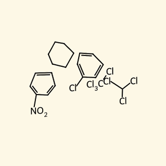 C1CCCCC1.ClC(Cl)(Cl)Cl.ClC(Cl)Cl.Clc1ccccc1.O=[N+]([O-])c1ccccc1